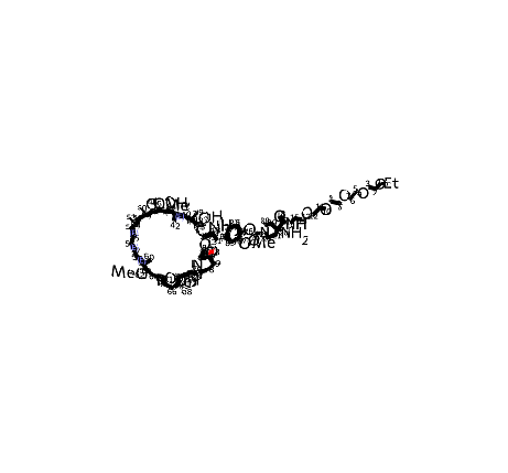 CCOCCOCCOCCOCCOCCNC(=O)C1(N)CCN(C(=O)O[C@@H]2CC[C@@H](C[C@@H](N)[C@@H]3C[C@@H](O)[C@H](C)/C=C(\C)[C@@H](O)[C@@H](OC)C(=O)[C@H](C)C[C@H](C)/C=C/C=C/C=C(\C)[C@@H](OC)C[C@@H]4CC[C@@H](C)[C@@](O)(O4)C(=O)C(=O)N4CCCC[C@H]4C(=O)O3)C[C@H]2OC)CC1